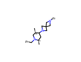 CC(C)CN1C[C@@H](C)C(N2CC3(CN(C(C)C)C3)C2)C[C@H]1C